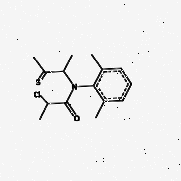 CC(=S)C(C)N(C(=O)C(C)Cl)c1c(C)cccc1C